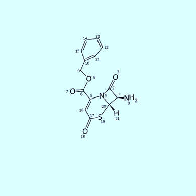 N[C@@H]1C(=O)N2C(C(=O)OCc3ccccc3)=CC(=O)S[C@@H]12